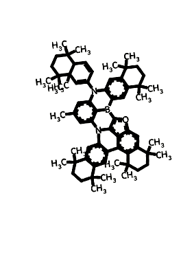 Cc1cc2c3c(c1)N1c4cc5c(cc4-c4c6c(cc7oc(c1c47)B3c1cc3c(cc1N2C1=CC2(C)C(C=C1)C(C)(C)CCC2(C)C)C(C)(C)CCC3(C)C)C(C)(C)CCC6(C)C)C(C)(C)CCC5(C)C